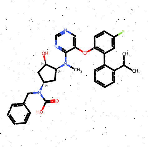 CC(C)c1ccccc1-c1cc(F)ccc1Oc1cncnc1N(C)[C@H]1C[C@@H](N(Cc2ccccc2)C(=O)O)C[C@H]1O